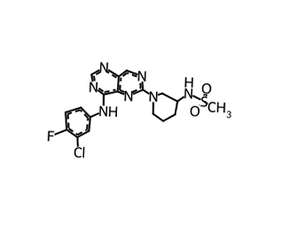 CS(=O)(=O)NC1CCCN(c2ncc3ncnc(Nc4ccc(F)c(Cl)c4)c3n2)C1